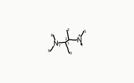 CC(C(C)N(C)C)N(C)C